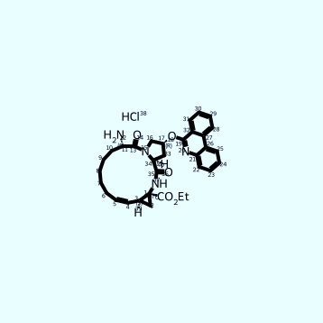 CCOC(=O)[C@@]12C[C@H]1C=CCCCCC[C@H](N)C(=O)N1C[C@H](Oc3nc4ccccc4c4ccccc34)C[C@H]1C(=O)N2.Cl